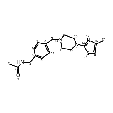 CC(=O)NCc1ccc(CN2CCN(c3nc(C)cs3)CC2)cc1